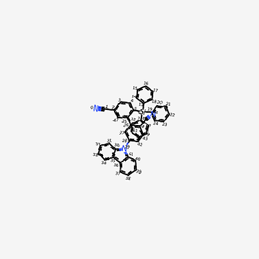 N#Cc1ccc([Si](c2ccccc2)(c2ccccc2)c2ccccc2)c(-c2cc(-n3c4ccccc4c4ccccc43)ccc2C#N)c1